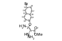 COC(=O)/C(NN)=C(/N)Oc1ccc2cc(Br)ccc2c1